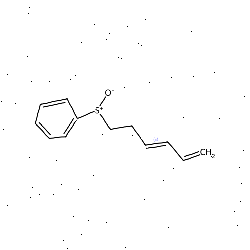 C=C/C=C/CC[S+]([O-])c1ccccc1